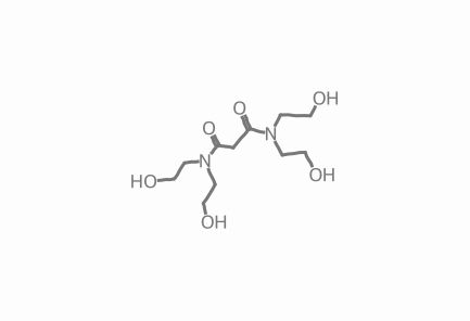 O=C(CC(=O)N(CCO)CCO)N(CCO)CCO